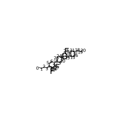 CCCCc1ccc(-c2ccc(OCc3ccc(CCC)cc3F)cc2)c(F)c1F